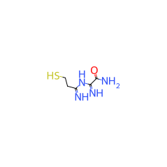 N=C(CCS)NC(=N)C(N)=O